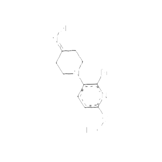 COc1ccc(N2CCC(=NO)CC2)c(Br)n1